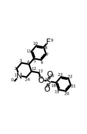 CN1CCC(c2ccc(F)cc2)C(COS(=O)(=O)c2ccccc2)C1